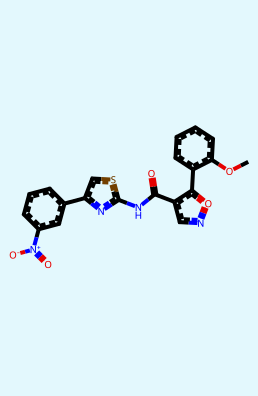 COc1ccccc1-c1oncc1C(=O)Nc1nc(-c2cccc([N+](=O)[O-])c2)cs1